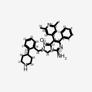 Cc1cc(C2=C(c3ccccc3)N=C(N)N3CN(Cc4ccccc4C4CCNCC4)[N+]([O-])=C23)cc(C)n1